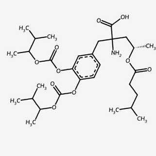 CC(C)CCC(=O)O[C@@H](C)CC(N)(Cc1ccc(OC(=O)OC(C)C(C)C)c(OC(=O)OC(C)C(C)C)c1)C(=O)O